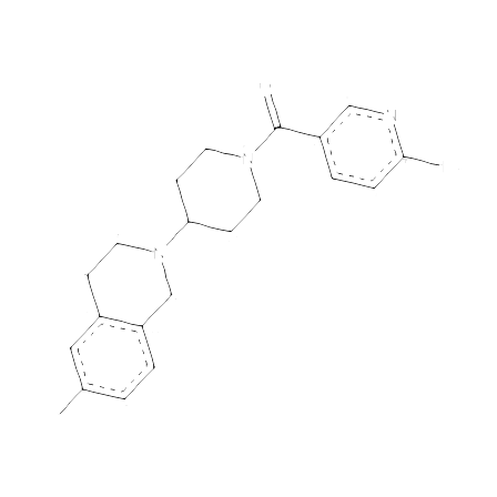 O=C(c1ccc(F)nc1)N1CCC(N2CCc3cc(F)ccc3C2)CC1